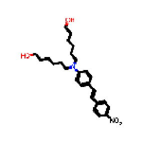 O=[N+]([O-])c1ccc(C=Cc2ccc(N(CCCCCCO)CCCCCCO)cc2)cc1